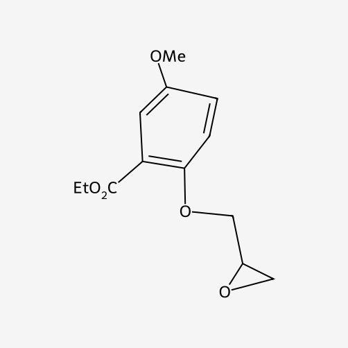 CCOC(=O)c1cc(OC)ccc1OCC1CO1